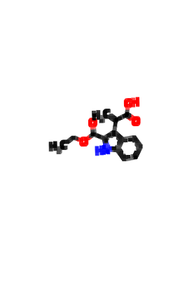 C=C(C(=O)O)c1c(C(=O)OCC)[nH]c2ccccc12